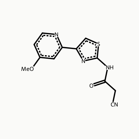 COc1ccnc(-c2csc(NC(=O)CC#N)n2)c1